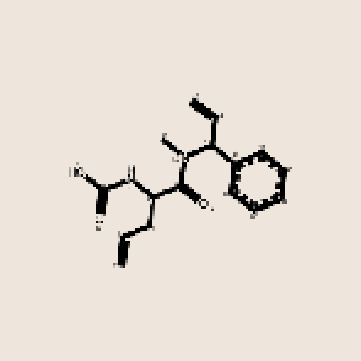 C=CC[C@@H](NC(=O)O)C(=O)N(C)C(C=C)c1ccccc1